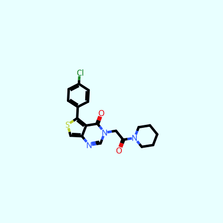 O=C(Cn1cnc2csc(-c3ccc(Cl)cc3)c2c1=O)N1CCCCC1